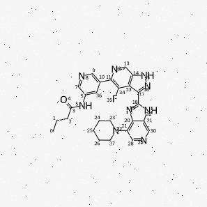 CCCC(=O)Nc1cncc(-c2ncc3[nH]nc(-c4nc5c(N6CCCCC6)cncc5[nH]4)c3c2F)c1